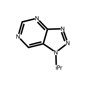 CC(C)n1nnc2ncncc21